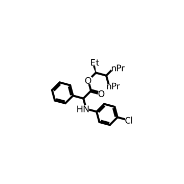 CCCC(CCC)[C@H](CC)OC(=O)C(Nc1ccc(Cl)cc1)c1ccccc1